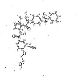 COCCOc1ccc(C(=O)Nc2cnn3c2C(=O)N(c2ccc(C(F)(F)c4ccccc4)cc2)C(C)C3)cc1C#N